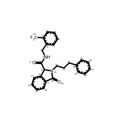 O=C(NCc1ccccc1C(F)(F)F)C1c2ccccc2C(=O)N1CCCc1ccccc1